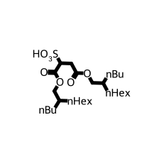 CCCCCCC(CCCC)COC(=O)CC(C(=O)OCC(CCCC)CCCCCC)S(=O)(=O)O